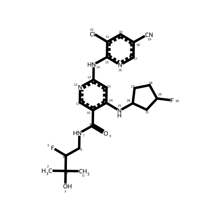 CC(C)(O)C(F)CNC(=O)c1cnc(Nc2ncc(C#N)cc2Cl)cc1NC1CCC(F)C1